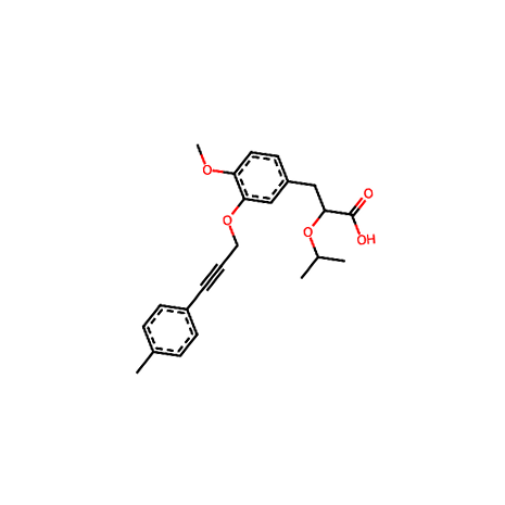 COc1ccc(CC(OC(C)C)C(=O)O)cc1OCC#Cc1ccc(C)cc1